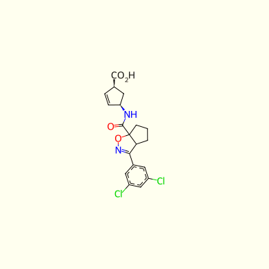 O=C(O)[C@@H]1C=C[C@H](NC(=O)C23CCCC2C(c2cc(Cl)cc(Cl)c2)=NO3)C1